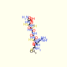 CSCC[C@H](N)C(=O)N[C@@H](CCCNC(=N)N)C(=O)N[C@@H](CS)C(=O)NCC(=O)NCC(=O)N[C@@H](CS)C(=O)N[C@@H](CS)C(=O)N[C@@H](CC(N)=O)C(=O)O